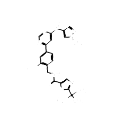 Cc1cc(-c2cc(Nc3cnn(C)c3)ncn2)ccc1CNC(=O)c1cnc(C(C)(C)C)s1